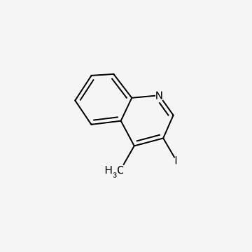 Cc1c(I)cnc2ccccc12